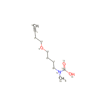 C#CCCOCCCCN(C)C(=O)O